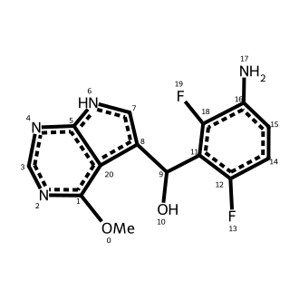 COc1ncnc2[nH]cc(C(O)c3c(F)ccc(N)c3F)c12